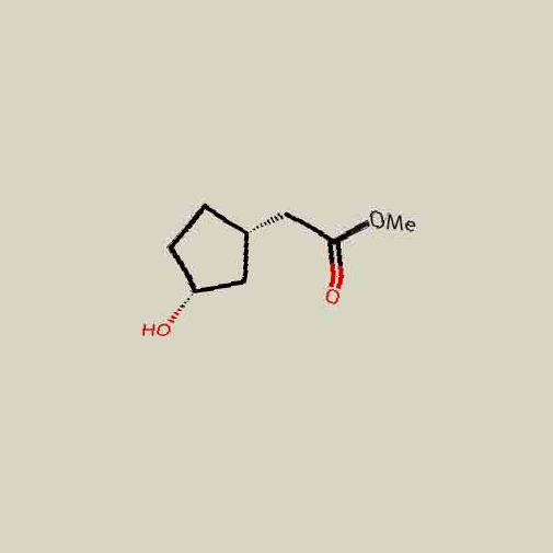 COC(=O)C[C@H]1CC[C@@H](O)C1